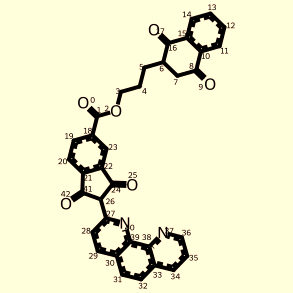 O=C(OCCCC1CC(=O)c2ccccc2C1=O)c1ccc2c(c1)C(=O)C(c1ccc3ccc4cccnc4c3n1)C2=O